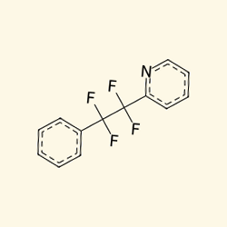 FC(F)(c1ccccc1)C(F)(F)c1ccccn1